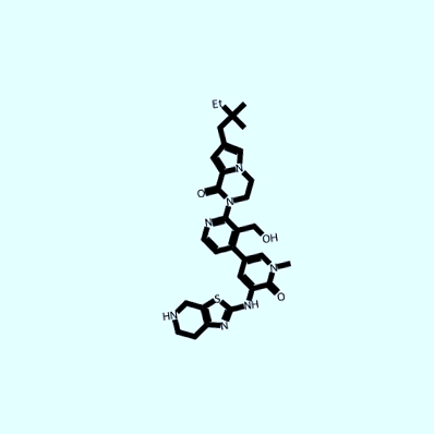 CCC(C)(C)Cc1cc2n(c1)CCN(c1nccc(-c3cc(Nc4nc5c(s4)CNCC5)c(=O)n(C)c3)c1CO)C2=O